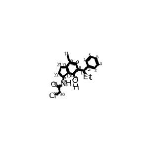 CCC(c1ccccc1)c1cc(C)c2c(c1O)C(NC(=O)CCl)CC2